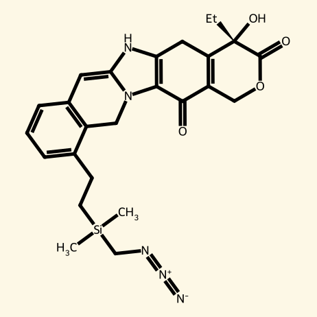 CC[C@@]1(O)C(=O)OCC2=C1CC1=C(C2=O)N2Cc3c(cccc3CC[Si](C)(C)CN=[N+]=[N-])C=C2N1